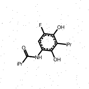 CC(C)C(=O)Nc1cc(F)c(O)c(C(C)C)c1O